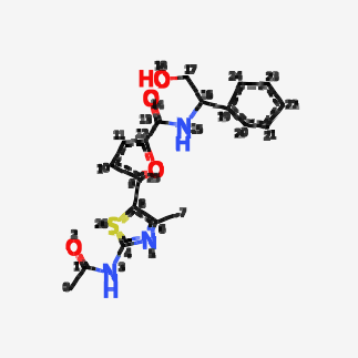 CC(=O)Nc1nc(C)c(-c2ccc(C(=O)NC(CO)c3ccccc3)o2)s1